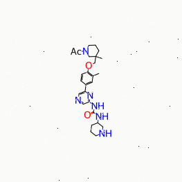 CC(=O)N1CCCC(C)(COc2ccc(-c3cncc(NC(=O)NC4CCCNC4)n3)cc2C)C1